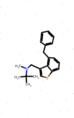 CN(Cc1csc2cccc(Cc3ccccc3)c12)C(C)(C)C